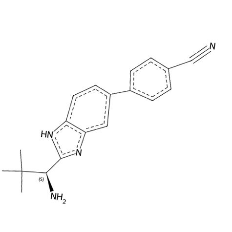 CC(C)(C)[C@H](N)c1nc2cc(-c3ccc(C#N)cc3)ccc2[nH]1